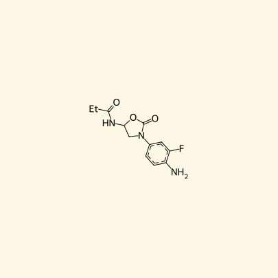 CCC(=O)NC1CN(c2ccc(N)c(F)c2)C(=O)O1